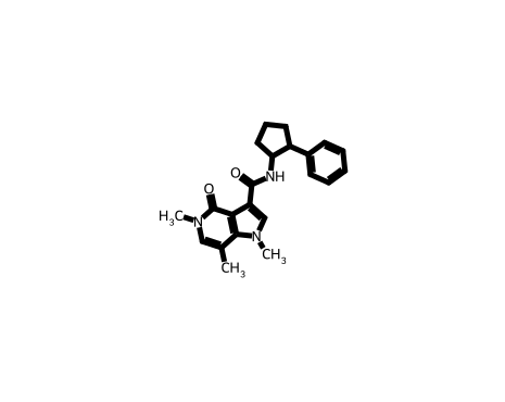 Cc1cn(C)c(=O)c2c(C(=O)NC3CCCC3c3ccccc3)cn(C)c12